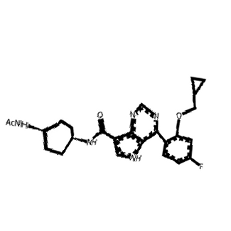 CC(=O)N[C@H]1CC[C@@H](NC(=O)c2c[nH]c3c(-c4ccc(F)cc4OCC4CC4)ncnc23)CC1